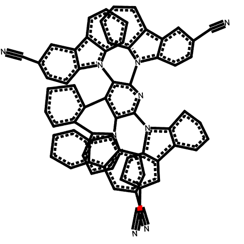 N#Cc1ccc2c(c1)c1ccccc1n2-c1nc(-n2c3ccccc3c3cc(C#N)ccc32)c(-n2c3ccccc3c3cc(C#N)ccc32)c(-c2ccccc2-c2cccnc2)c1-n1c2ccccc2c2cc(C#N)ccc21